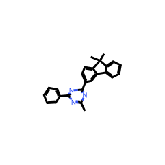 Cc1nc(-c2ccccc2)nc(-c2ccc3c(c2)-c2ccccc2C3(C)C)n1